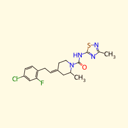 Cc1nsc(NC(=O)N2CC/C(=C\Cc3ccc(Cl)cc3F)CC2C)n1